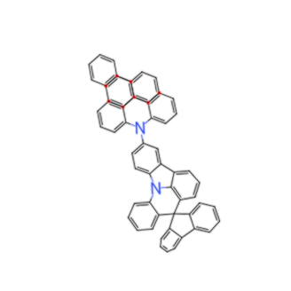 c1ccc(-c2ccccc2-c2ccccc2N(c2ccc3c(c2)c2cccc4c2n3-c2ccccc2C42c3ccccc3-c3ccccc32)c2ccccc2-c2ccccc2)cc1